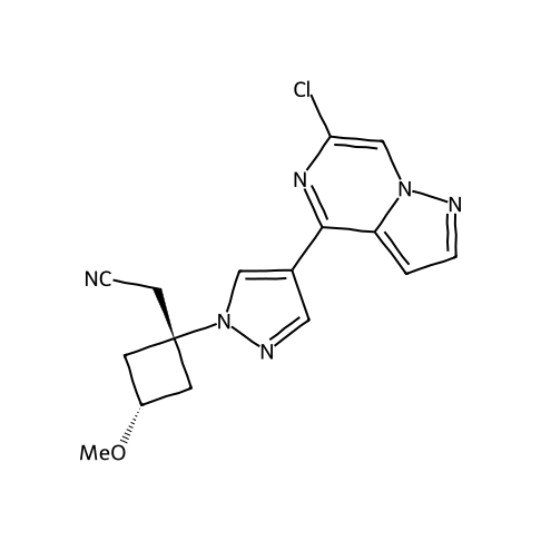 CO[C@H]1C[C@@](CC#N)(n2cc(-c3nc(Cl)cn4nccc34)cn2)C1